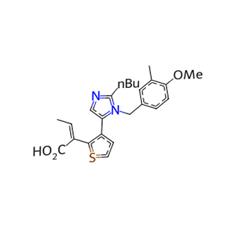 CC=C(C(=O)O)c1sccc1-c1cnc(CCCC)n1Cc1ccc(OC)c(C)c1